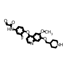 COc1cc2c(Oc3ccc(NC(=O)C=O)cc3F)ccnc2cc1OCC1CCNCC1